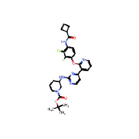 CC(C)(C)OC(=O)N1CCCC(Nc2nccc(-c3cccnc3Oc3ccc(NC(=O)C4CCC4)c(F)c3F)n2)C1